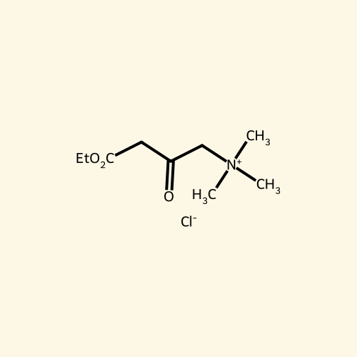 CCOC(=O)CC(=O)C[N+](C)(C)C.[Cl-]